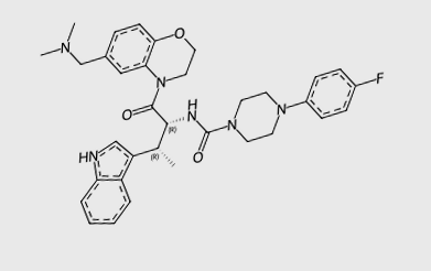 C[C@H](c1c[nH]c2ccccc12)[C@@H](NC(=O)N1CCN(c2ccc(F)cc2)CC1)C(=O)N1CCOc2ccc(CN(C)C)cc21